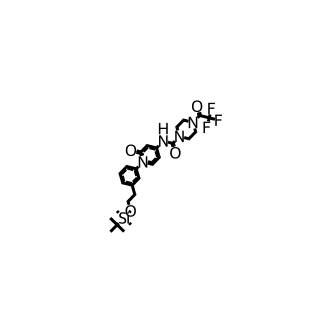 CC(C)(C)[Si](C)(C)OCCc1cccc(-n2ccc(NC(=O)N3CCN(C(=O)C(F)(F)F)CC3)cc2=O)c1